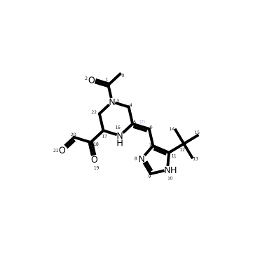 CC(=O)N1C/C(=C/c2nc[nH]c2C(C)(C)C)NC(C(=O)C=O)C1